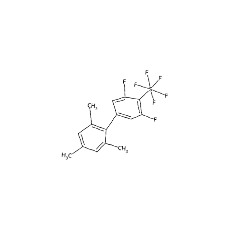 Cc1cc(C)c(-c2cc(F)c(S(F)(F)(F)(F)F)c(F)c2)c(C)c1